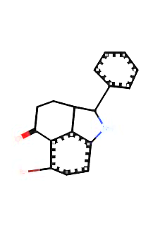 O=C1CCC2c3c(ccc(Br)c31)NC2c1ccccc1